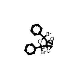 BrC1(C(Br)(OC(Br)(c2ccccc2)C2(Br)CO2)c2ccccc2)CO1